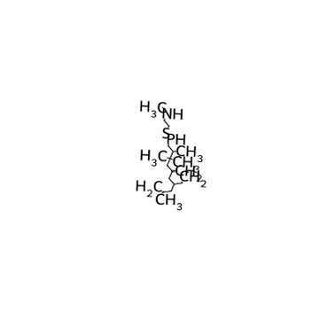 C=CC(CC(=C)C)CC(=C)CC(C)(C)C(C)CPSCCNC